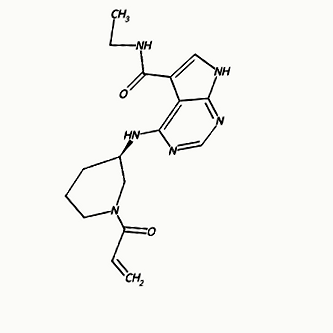 C=CC(=O)N1CCC[C@@H](Nc2ncnc3[nH]cc(C(=O)NCC)c23)C1